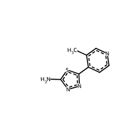 Cc1cnccc1-c1nnc(N)s1